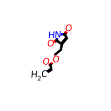 C=CC(=O)OCCC1=CC(=O)NC1=O